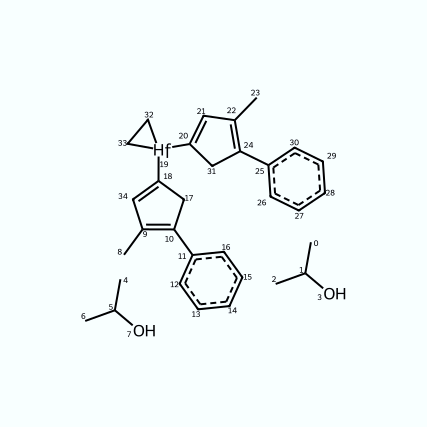 CC(C)O.CC(C)O.CC1=C(c2ccccc2)C[C]([Hf]2([C]3=CC(C)=C(c4ccccc4)C3)[CH2][CH2]2)=C1